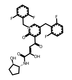 O=C(N[C@@H]1CCC[C@H]1O)C(O)=CC(=O)c1cc(Cc2c(F)cccc2F)cn(Cc2c(F)cccc2F)c1=O